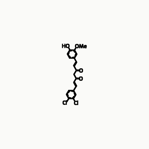 COc1cc(C=CC(=O)CC(=O)C=Cc2ccc(Cl)c(Cl)c2)ccc1O